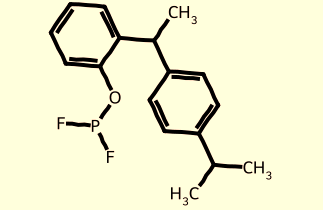 CC(C)c1ccc(C(C)c2ccccc2OP(F)F)cc1